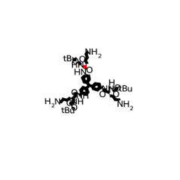 CC(C)(C)OC(=O)N[C@H](CCCCN)C(=O)Nc1ccc(C(c2ccc(NC(=O)[C@@H](CCCCN)NC(=O)OC(C)(C)C)cc2)c2ccc(NC(=O)[C@@H](CCCCN)NC(=O)OC(C)(C)C)cc2)cc1